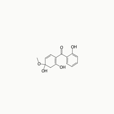 COC1(O)C=CC(C(=O)c2ccccc2O)=C(O)C1